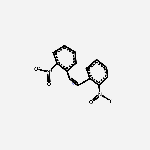 O=[N+]([O-])c1ccccc1/C=C\c1ccccc1[N+](=O)[O-]